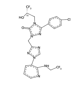 O=c1n(Cc2ncn(-c3cccnc3NCC(F)(F)F)n2)nc(-c2ccc(Cl)cc2)n1C[C@H](O)C(F)(F)F